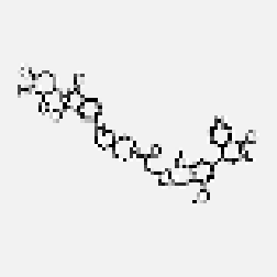 COc1cc(-c2cn(C)c(=O)c3cnccc23)cc(OC)c1CN1CC(CC(=O)N2CCC3(CC2)CCN(c2ccc4c(c2)C(=O)N(C2CCC(=O)NC2=O)C4=O)C3)C1